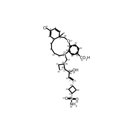 CC12C=CC(Cl)=CC1CCCCN(C[C@@H]1CC[C@H]1[C@@H](O)/C=C/[C@H]1C[C@@H](S(N)(=O)=O)C1)c1cc(C(=O)O)ccc1OC2